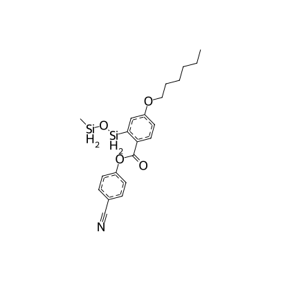 CCCCCCOc1ccc(C(=O)Oc2ccc(C#N)cc2)c([SiH2]O[SiH2]C)c1